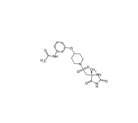 CC(=O)Nc1cccc(OC2CCN(S(=O)(=O)C[C@]3(C)NC(=O)NC3=O)CC2)c1